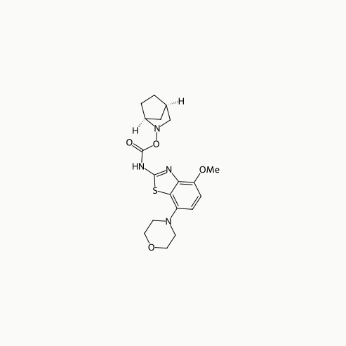 COc1ccc(N2CCOCC2)c2sc(NC(=O)ON3C[C@@H]4CC[C@H]3C4)nc12